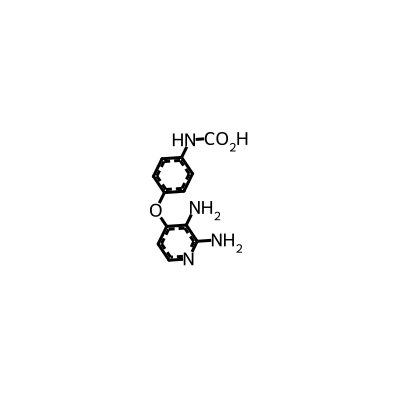 Nc1nccc(Oc2ccc(NC(=O)O)cc2)c1N